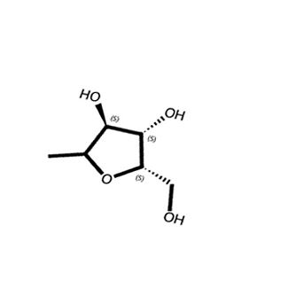 CC1O[C@@H](CO)[C@@H](O)[C@@H]1O